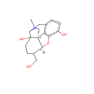 CN1CC[C@]23c4c5ccc(O)c4O[C@H]2C(CO)CCC3(O)C1C5